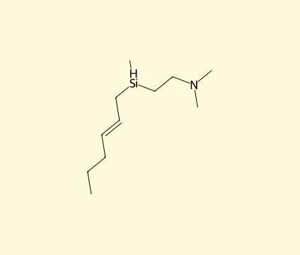 CCCC=CC[SiH](C)CCN(C)C